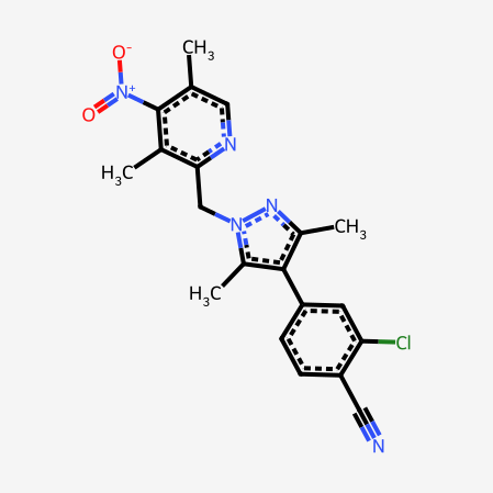 Cc1cnc(Cn2nc(C)c(-c3ccc(C#N)c(Cl)c3)c2C)c(C)c1[N+](=O)[O-]